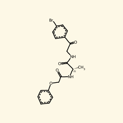 C[C@H](NC(=O)COc1ccccc1)C(=O)NCC(=O)c1ccc(Br)cc1